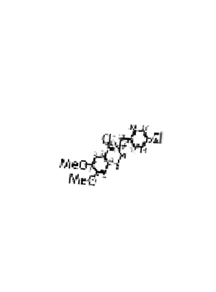 COc1cc2c(cc1OC)CC[N+](Cc1ccc(Cl)cc1)=C2.[Cl-]